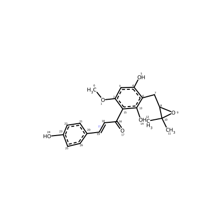 COc1cc(O)c(CC2OC2(C)C)c(O)c1C(=O)/C=C/c1ccc(O)cc1